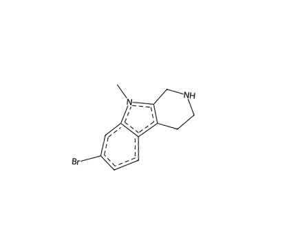 Cn1c2c(c3ccc(Br)cc31)CCNC2